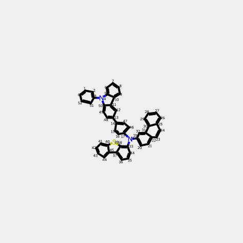 c1ccc(-n2c3ccccc3c3cc(-c4ccc(N(c5ccc6ccc7ccccc7c6c5)c5cccc6c5sc5ccccc56)cc4)ccc32)cc1